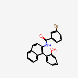 O=C(Nc1ccc2ccccc2c1-c1ccccc1O)c1cccc(Br)c1